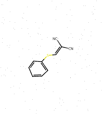 N#CC(C#N)=CSc1ccccc1